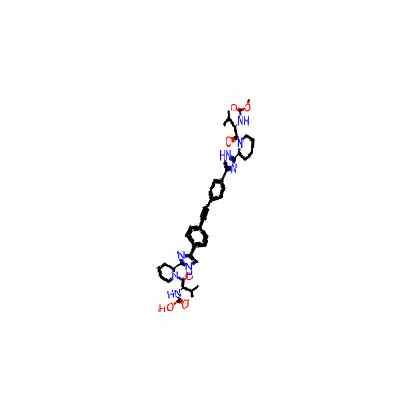 COC(=O)N[C@H](C(=O)N1CCCC[C@H]1c1nc(-c2ccc(C#Cc3ccc(-c4c[nH]c([C@@H]5CCCCN5C(=O)[C@@H](NC(=O)O)C(C)C)n4)cc3)cc2)c[nH]1)C(C)C